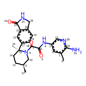 Cc1cc(NC(=O)C(=O)N2C[C@@H](C)CC[C@@]2(C)c2ccc3c(c2)C(=O)NC3)cnc1N